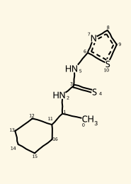 CC(NC(=S)Nc1nccs1)C1CCCCC1